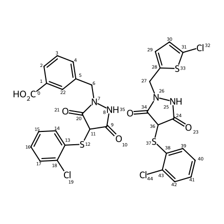 O=C(O)c1cccc(CN2NC(=O)C(Sc3ccccc3Cl)C2=O)c1.O=C1NN(Cc2ccc(Cl)s2)C(=O)C1Sc1ccccc1Cl